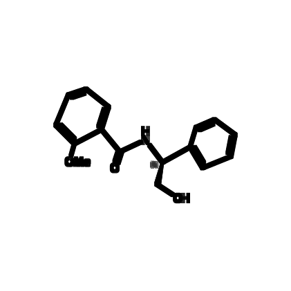 COc1ccccc1C(=O)N[C@H](CO)c1ccccc1